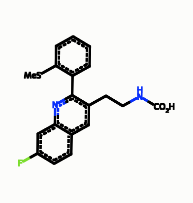 CSc1ccccc1-c1nc2cc(F)ccc2cc1CCNC(=O)O